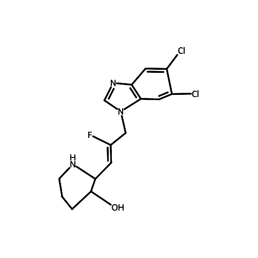 OC1CCCNC1/C=C(\F)Cn1cnc2cc(Cl)c(Cl)cc21